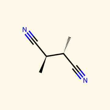 C[C@H](C#N)[C@@H](C)C#N